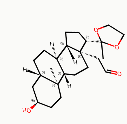 CC1([C@H]2CC[C@H]3[C@@H]4CC[C@H]5C[C@H](O)CC[C@]5(C)[C@H]4CC[C@]23CC=O)OCCO1